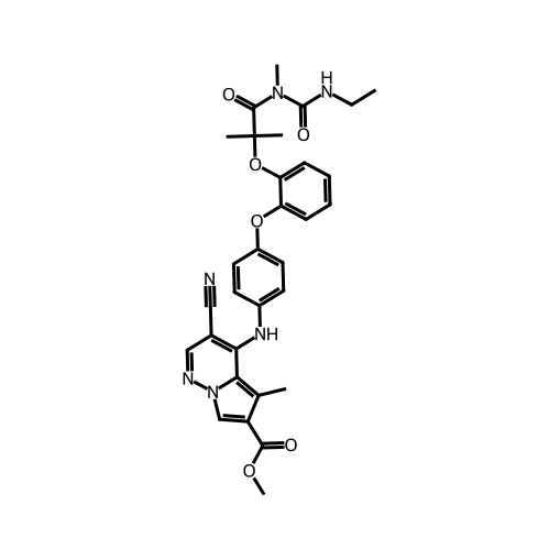 CCNC(=O)N(C)C(=O)C(C)(C)Oc1ccccc1Oc1ccc(Nc2c(C#N)cnn3cc(C(=O)OC)c(C)c23)cc1